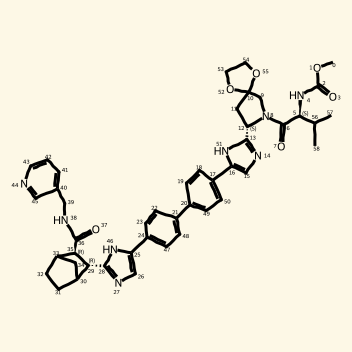 COC(=O)N[C@H](C(=O)N1CC2(C[C@H]1c1ncc(-c3ccc(-c4ccc(-c5cnc([C@@H]6C7CCC(C7)[C@H]6C(=O)NCc6cccnc6)[nH]5)cc4)cc3)[nH]1)OCCO2)C(C)C